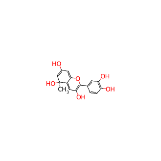 CC1(O)C=C(O)C=C2OC(c3ccc(O)c(O)c3)=C(O)C=C21